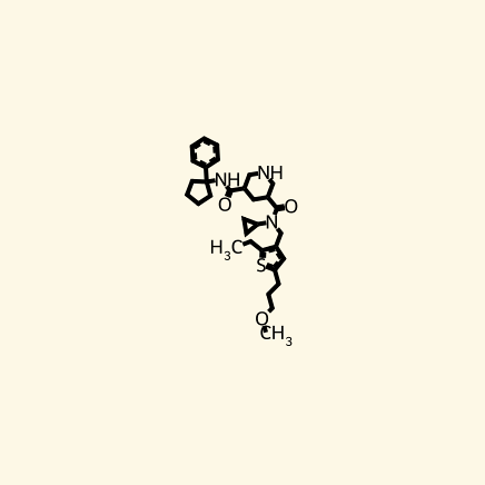 CCc1sc(CCCOC)cc1CN(C(=O)C1CNCC(C(=O)NC2(c3ccccc3)CCCC2)C1)C1CC1